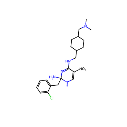 CN(C)CC1CCC(CNC2=NC(N)(Cc3ccccc3Cl)NC=C2[N+](=O)[O-])CC1